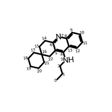 CCCNc1c2c(nc3ccccc13)CCC1(CCCCC1)C2